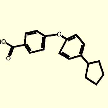 O=C(O)c1ccc(Oc2ccc(C3CCCC3)cc2)cc1